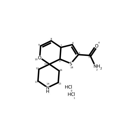 Cl.Cl.NC(=O)C1=CC2C=COC3(CCNCC3)C2S1